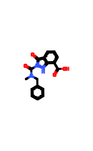 CN(Cc1ccccc1)C(=O)n1[nH]c2c(C(=O)O)cccc2c1=O